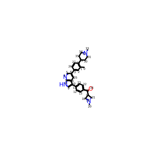 Cc1cc(-c2cnc3[nH]cc(-c4ccc(C(=O)C5CN(C)C5)cc4)c3c2)ccc1C1CCN(C)CC1